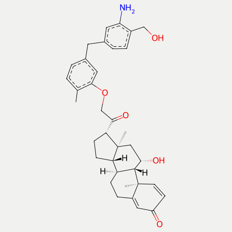 Cc1ccc(Cc2ccc(CO)c(N)c2)cc1OCC(=O)[C@H]1CC[C@H]2[C@@H]3CCC4=CC(=O)C=C[C@]4(C)[C@H]3[C@@H](O)C[C@]12C